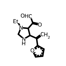 C=C(c1ccco1)C1NCN(CC)C1C(=O)C=O